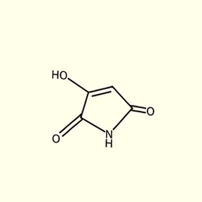 O=C1C=C(O)C(=O)N1